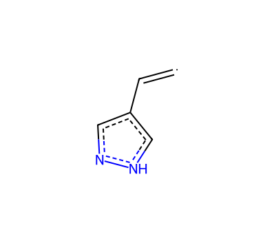 [CH]=Cc1cn[nH]c1